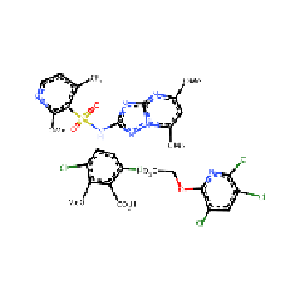 COc1c(Cl)ccc(Cl)c1C(=O)O.COc1cc(OC)n2nc(NS(=O)(=O)c3c(C(F)(F)F)ccnc3OC)nc2n1.O=C(O)COc1nc(Cl)c(Cl)cc1Cl